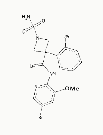 COc1cc(Br)cnc1NC(=O)C1(c2ccccc2C(C)C)CN(S(N)(=O)=O)C1